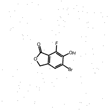 O=C1OCc2cc(Br)c(O)c(F)c21